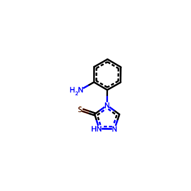 Nc1ccccc1-n1cn[nH]c1=S